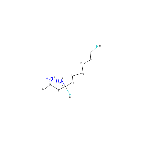 CC(N)CC(N)(F)CCCCCCF